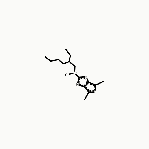 CCCCC(CC)C[S+]([O-])c1nc2c(C)sc(C)c2s1